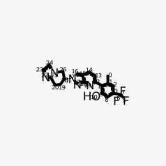 Cc1cc(C(F)(F)F)cc(O)c1-c1ccc2cn([C@@H]3CCc4nccn4C3)nc2n1